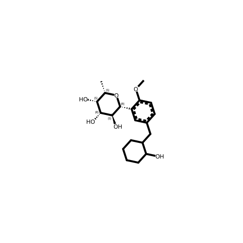 COc1ccc(CC2CCCCC2O)cc1[C@H]1O[C@@H](C)[C@@H](O)[C@@H](O)[C@@H]1O